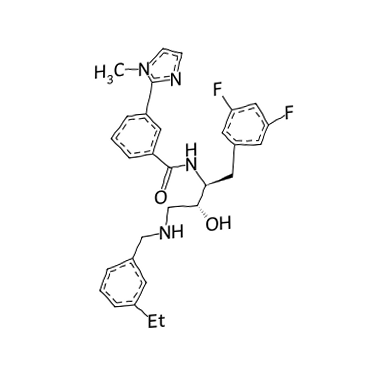 CCc1cccc(CNC[C@@H](O)[C@H](Cc2cc(F)cc(F)c2)NC(=O)c2cccc(-c3nccn3C)c2)c1